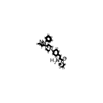 Cc1cc(N2CCN(C3CCC(CC(N)C(=O)N4CCSC4)CC3)CC2)n(-c2ccccc2)n1